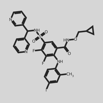 Cc1cc(I)ccc1Nc1c(C(=O)NOCC2CC2)cc(S(=O)(=O)NC(c2cccnc2)c2cccnc2)c(F)c1F